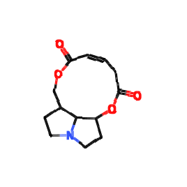 O=C1/C=C\CC(=O)OC2CCN3CCC(CO1)C23